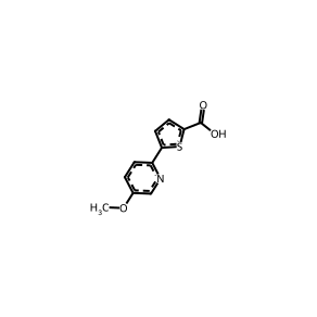 COc1ccc(-c2ccc(C(=O)O)s2)nc1